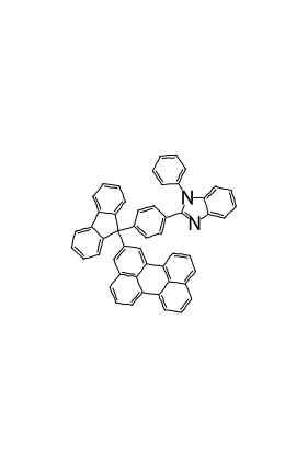 c1ccc(-n2c(-c3ccc(C4(c5cc6cccc7c8cccc9cccc(c(c5)c67)c98)c5ccccc5-c5ccccc54)cc3)nc3ccccc32)cc1